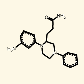 NC(=O)CCC1CN(c2ccccc2)CCN1c1cccc(N)c1